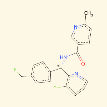 Cc1ccc(C(=O)N[C@@H](c2ccc(CF)cc2)c2ncccc2F)cn1